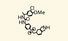 COc1ccc(C(C)NC(=O)Nc2ccc(S(=O)(=O)CC3C=CC4=C(CNC4)C3)cc2)cc1Cl